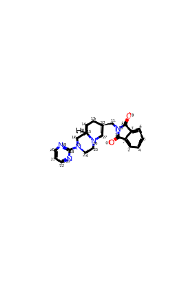 O=C1c2ccccc2C(=O)N1C[C@@H]1CC[C@H]2CN(c3ncccn3)CCN2C1